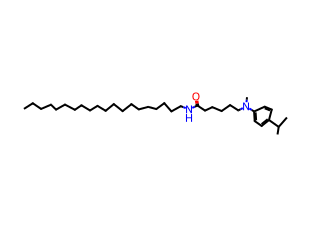 CCCCCCCCCCCCCCCCCCCCNC(=O)CCCCCN(C)c1ccc(C(C)C)cc1